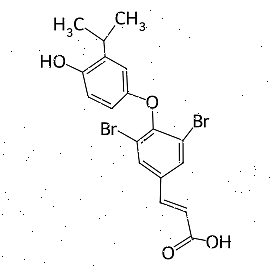 CC(C)c1cc(Oc2c(Br)cc(/C=C/C(=O)O)cc2Br)ccc1O